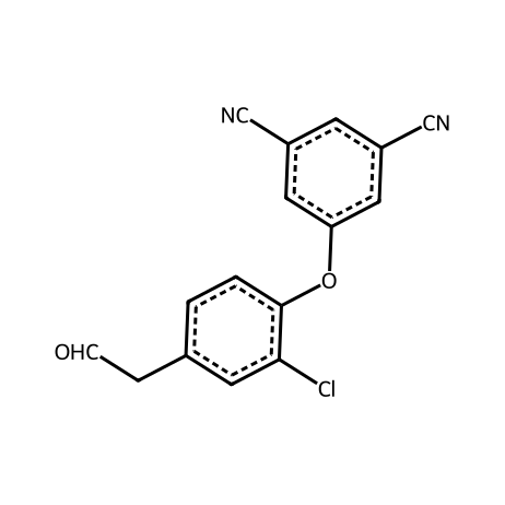 N#Cc1cc(C#N)cc(Oc2ccc(CC=O)cc2Cl)c1